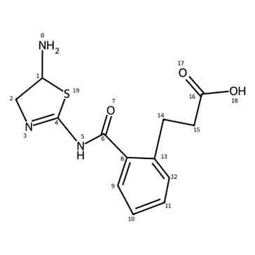 NC1CN=C(NC(=O)c2ccccc2CCC(=O)O)S1